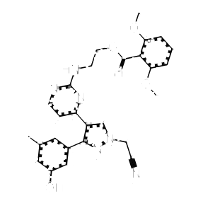 COc1cccc(OC)c1C(=O)O[C@@H](C)CNc1nccc(-c2cn(CC#N)nc2-c2cc(C)cc(O)c2)n1